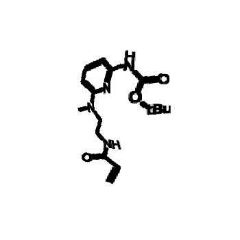 C=CC(=O)NCCN(C)c1cccc(NC(=O)OC(C)(C)C)n1